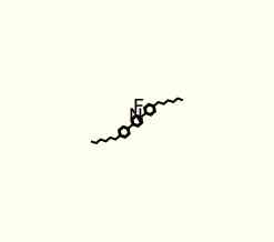 CCCCCCc1ccc(-c2ccc(-c3ccc(CCCCCC)cc3F)nc2)cc1